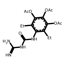 CCc1c(NC(=O)NC(=N)N)c(CC)c(OC(C)=O)c(OC(C)=O)c1OC(C)=O